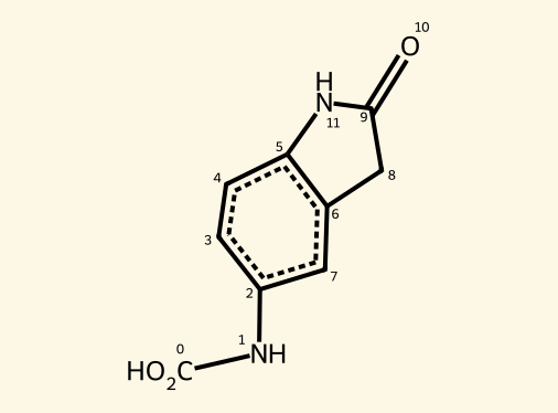 O=C(O)Nc1ccc2c(c1)CC(=O)N2